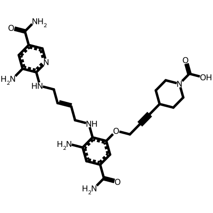 NC(=O)c1cnc(NCC=CCNc2c(N)cc(C(N)=O)cc2OCC#CC2CCN(C(=O)O)CC2)c(N)c1